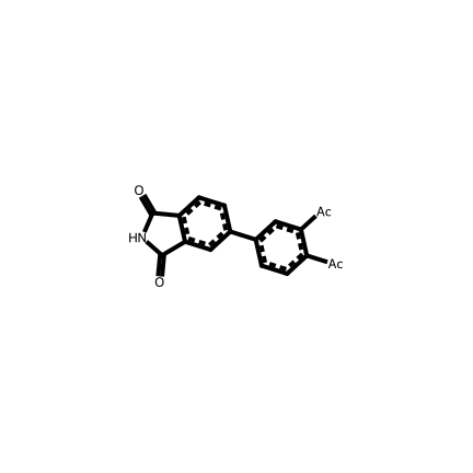 CC(=O)c1ccc(-c2ccc3c(c2)C(=O)NC3=O)cc1C(C)=O